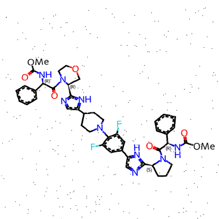 COC(=O)N[C@@H](C(=O)N1CCC[C@H]1c1ncc(-c2cc(F)c(N3CCC(c4cnc([C@@H]5COCCN5C(=O)[C@H](NC(=O)OC)c5ccccc5)[nH]4)CC3)c(F)c2)[nH]1)c1ccccc1